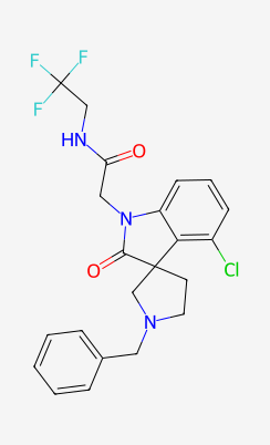 O=C(CN1C(=O)C2(CCN(Cc3ccccc3)C2)c2c(Cl)cccc21)NCC(F)(F)F